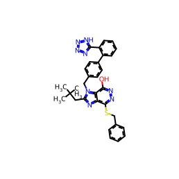 CC(C)(C)Cc1nc2c(SCc3ccccc3)nnc(O)c2n1Cc1ccc(-c2ccccc2-c2nnn[nH]2)cc1